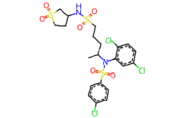 CC(CCCS(=O)(=O)NC1CCS(=O)(=O)C1)N(c1cc(Cl)ccc1Cl)S(=O)(=O)c1ccc(Cl)cc1